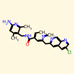 C=N/C(=C\C(=C/C)C(=O)NCc1c(C)cc(N)nc1C)Cc1cc2cc(Cl)cnc2cn1